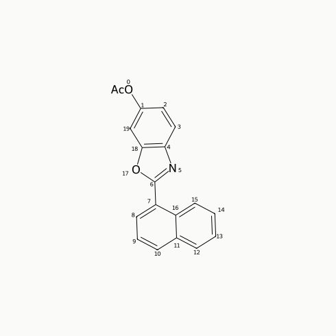 CC(=O)Oc1ccc2nc(-c3cccc4ccccc34)oc2c1